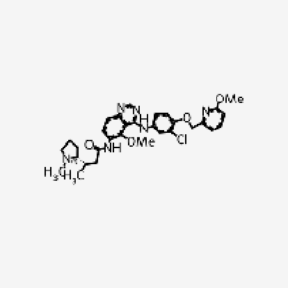 COc1cccc(COc2ccc(Nc3ncnc4ccc(NC(=O)CC(C)[C@H]5CCCN5C)c(OC)c34)cc2Cl)n1